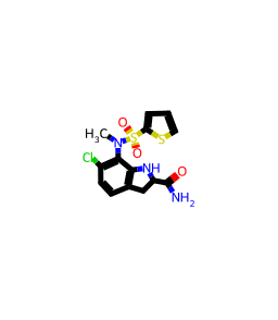 CN(c1c(Cl)ccc2c1NC(C(N)=O)C2)S(=O)(=O)c1cccs1